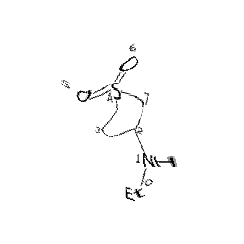 CCNC1CS(=O)(=O)C1